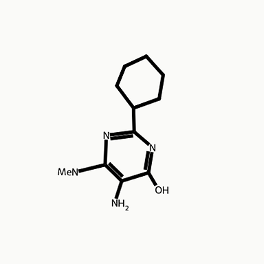 CNc1nc(C2CCCCC2)nc(O)c1N